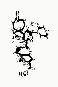 CC[C@H]1COCCN1c1cc(C2(S(C)(=O)=O)CCNCC2)cc(-c2ccc3[nH]c(CO)cc3n2)n1